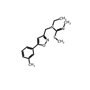 CCN(Cc1cc(-c2cccc(C)c2)on1)/C(=N\C)SC